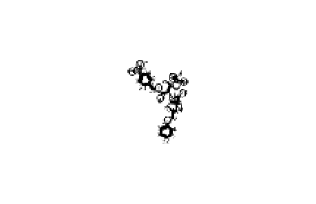 CC(OS(C)(=O)=O)=C(C(=O)OCc1ccc([N+](=O)[O-])cc1)N1C(=O)C2N=C(COc3ccccc3)SC21